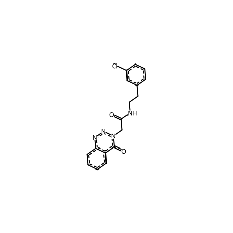 O=C(Cn1nnc2ccccc2c1=O)NCCc1cccc(Cl)c1